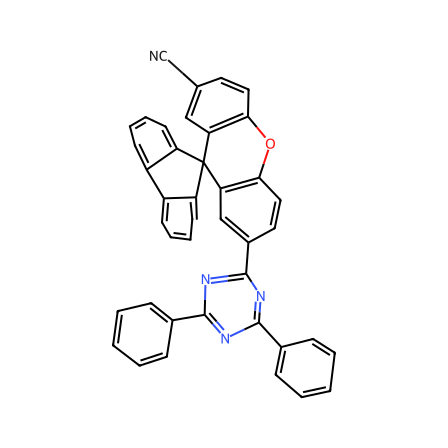 N#Cc1ccc2c(c1)C1(c3cc(-c4nc(-c5ccccc5)nc(-c5ccccc5)n4)ccc3O2)c2ccccc2-c2ccccc21